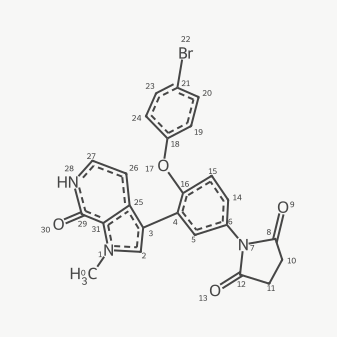 Cn1cc(-c2cc(N3C(=O)CCC3=O)ccc2Oc2ccc(Br)cc2)c2cc[nH]c(=O)c21